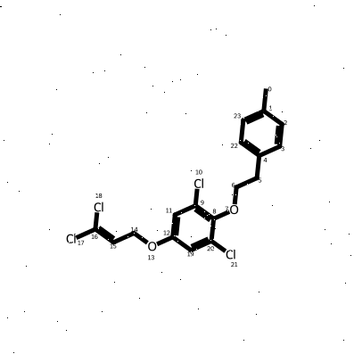 Cc1ccc(CCOc2c(Cl)cc(OCC=C(Cl)Cl)cc2Cl)cc1